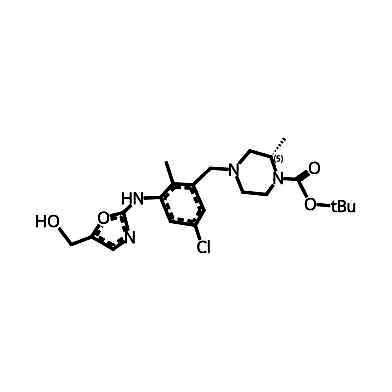 Cc1c(CN2CCN(C(=O)OC(C)(C)C)[C@@H](C)C2)cc(Cl)cc1Nc1ncc(CO)o1